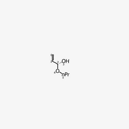 C=C[C@H](O)OCCC